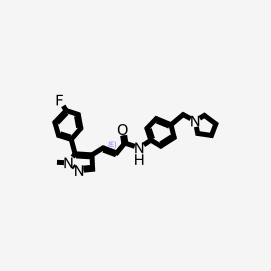 Cn1ncc(/C=C/C(=O)Nc2ccc(CN3CCCC3)cc2)c1-c1ccc(F)cc1